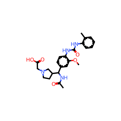 COc1cc(C(NC(C)=O)C2CCN(CC(=O)O)C2)ccc1NC(=O)Nc1ccccc1C